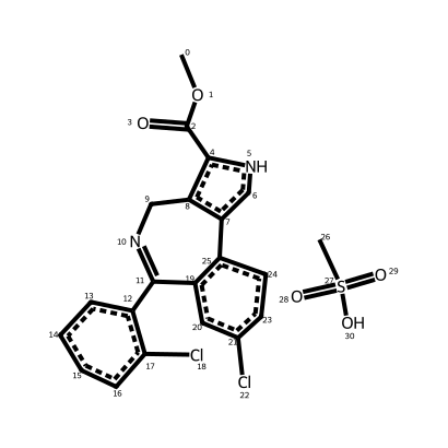 COC(=O)c1[nH]cc2c1CN=C(c1ccccc1Cl)c1cc(Cl)ccc1-2.CS(=O)(=O)O